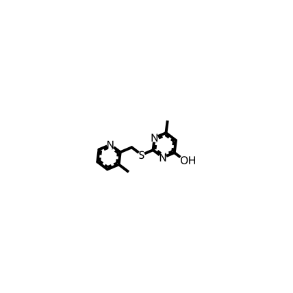 Cc1cc(O)nc(SCc2ncccc2C)n1